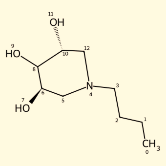 CCCCN1C[C@@H](O)C(O)[C@H](O)C1